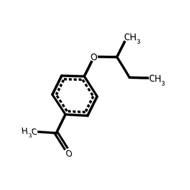 CCC(C)Oc1ccc(C(C)=O)cc1